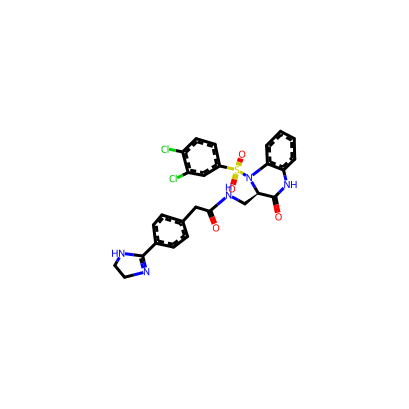 O=C(Cc1ccc(C2=NCCN2)cc1)NC[C@@H]1C(=O)Nc2ccccc2N1S(=O)(=O)c1ccc(Cl)c(Cl)c1